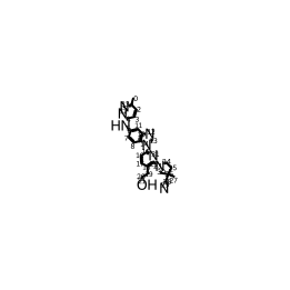 Cc1ccc(Nc2ccc3c(c2)ncn3-c2ccc(CCO)c(N3CCC(C)(C#N)C3)n2)nn1